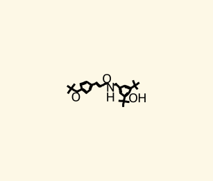 CC(C)(C)C(=O)c1ccc(C=CC(=O)NCc2cc(C(C)(C)C)c(O)c(C(C)(C)C)c2)cc1